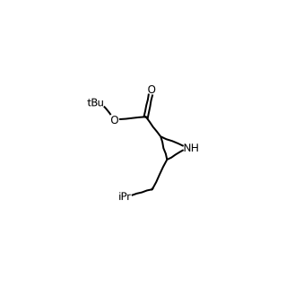 CC(C)CC1NC1C(=O)OC(C)(C)C